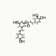 O=C(/C=C/c1ccc(O)c(O)c1)Oc1cc(O)cc(/C=C/c2ccc(O)cc2)c1